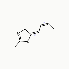 C/C=C\C=C1/CN=C(C)S1